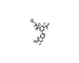 CC[C@@H](Cc1ccc(-c2cc(C(F)(F)F)cc(S(=O)(=O)N(C)CC3CO3)c2)nc1)C(=O)O